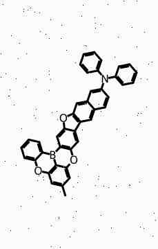 Cc1cc2c3c(c1)Oc1cc4c(cc1B3c1ccccc1O2)oc1cc2cc(N(c3ccccc3)c3ccccc3)ccc2cc14